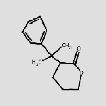 CC(C)(c1ccccc1)C1CCCOC1=O